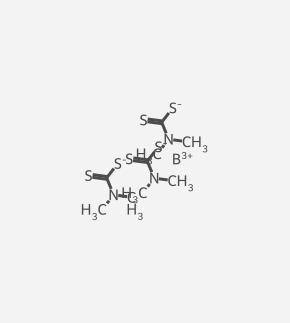 CN(C)C(=S)[S-].CN(C)C(=S)[S-].CN(C)C(=S)[S-].[B+3]